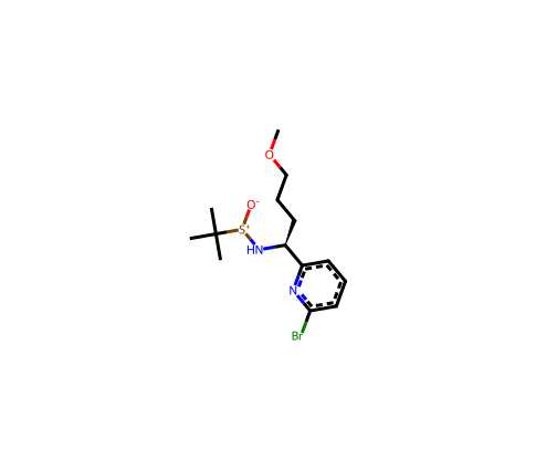 COCCC[C@H](N[S+]([O-])C(C)(C)C)c1cccc(Br)n1